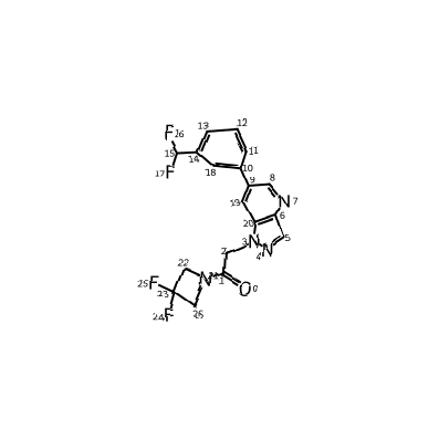 O=C(Cn1ncc2ncc(-c3cccc(C(F)F)c3)cc21)N1CC(F)(F)C1